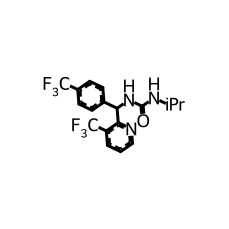 CC(C)NC(=O)NC(c1ccc(C(F)(F)F)cc1)c1ncccc1C(F)(F)F